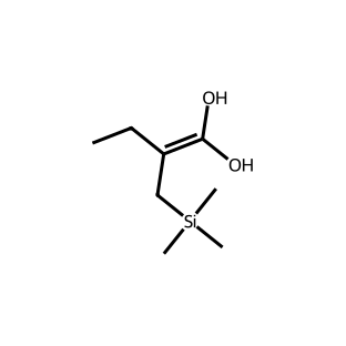 CCC(C[Si](C)(C)C)=C(O)O